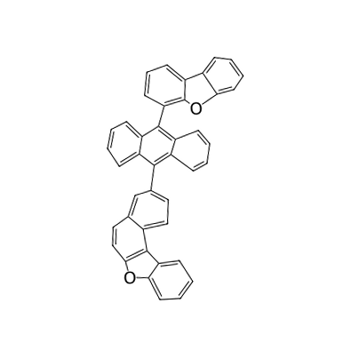 c1ccc2c(c1)oc1c(-c3c4ccccc4c(-c4ccc5c(ccc6oc7ccccc7c65)c4)c4ccccc34)cccc12